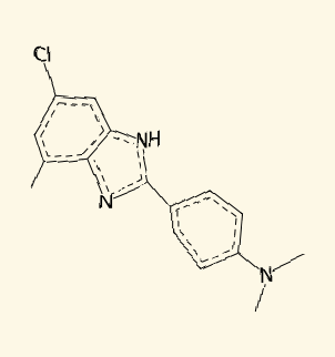 Cc1cc(Cl)cc2[nH]c(-c3ccc(N(C)C)cc3)nc12